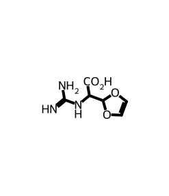 N=C(N)NC(C(=O)O)C1OC=CO1